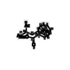 COC(=O)[C]12[CH]3[CH]4[CH]5[CH]1[Fe]45321678[CH]2[CH]1[CH]6[C]7(CC(C(C)=O)C(C)=O)[CH]28